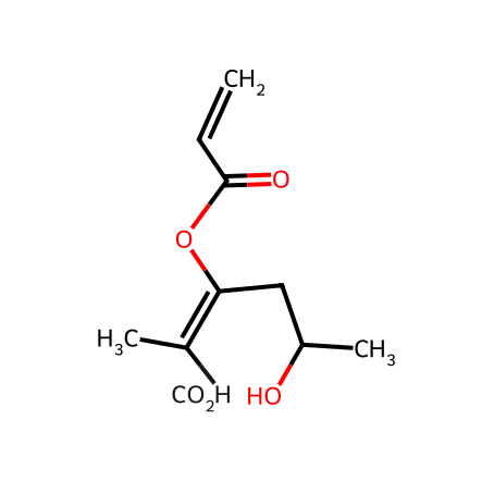 C=CC(=O)O/C(CC(C)O)=C(\C)C(=O)O